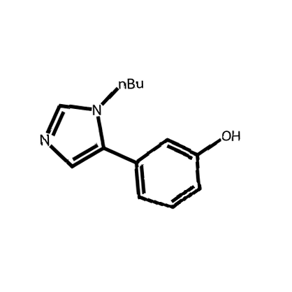 CCCCn1cncc1-c1cccc(O)c1